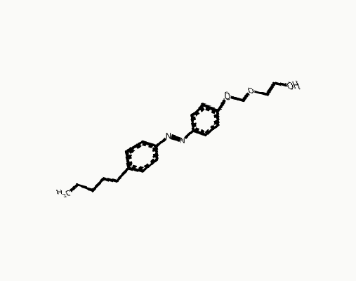 CCCCCc1ccc(/N=N/c2ccc(OCOCCO)cc2)cc1